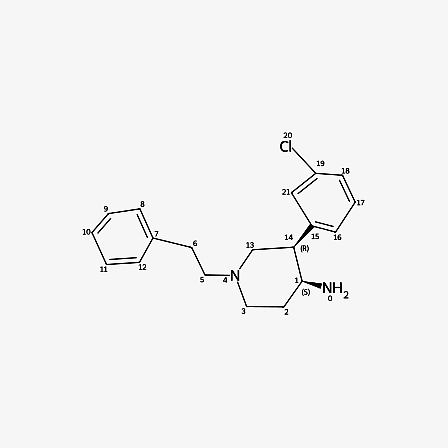 N[C@H]1CCN(CCc2ccccc2)C[C@H]1c1cccc(Cl)c1